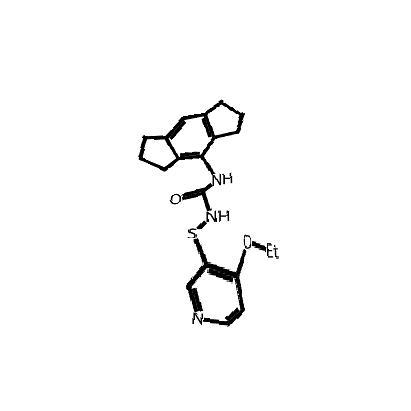 CCOc1ccncc1SNC(=O)Nc1c2c(cc3c1CCC3)CCC2